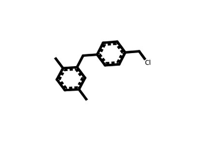 Cc1ccc(C)c(Cc2ccc(CCl)cc2)c1